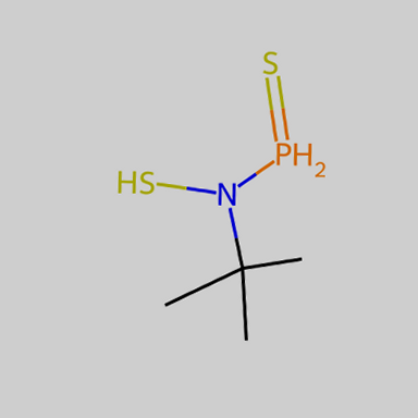 CC(C)(C)N(S)[PH2]=S